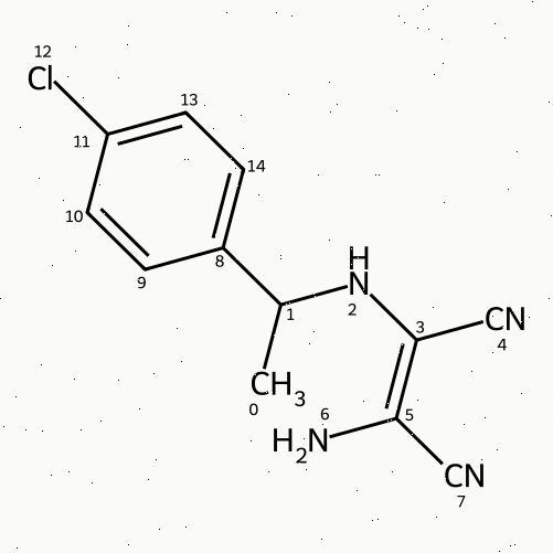 CC(NC(C#N)=C(N)C#N)c1ccc(Cl)cc1